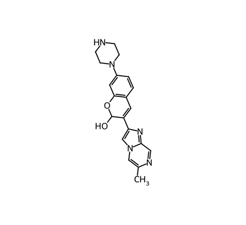 Cc1cn2cc(C3=Cc4ccc(N5CCNCC5)cc4OC3O)nc2cn1